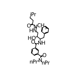 CCCN(CCC)C(=O)c1cccc(C(=O)NC(Cc2ccccc2)C(O)CNN(C)C(=O)CCC(C)C)c1